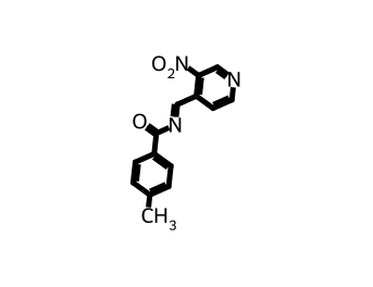 Cc1ccc(C(=O)N=Cc2ccncc2[N+](=O)[O-])cc1